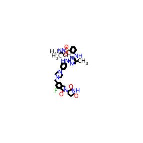 Cc1cnc(Nc2ccc(N3CCN(Cc4cc(F)c5c(c4)CN(C4CCC(=O)NC4=O)C5=O)CC3)cc2)nc1Nc1cccc(S(=O)(=O)NC(C)(C)C)c1